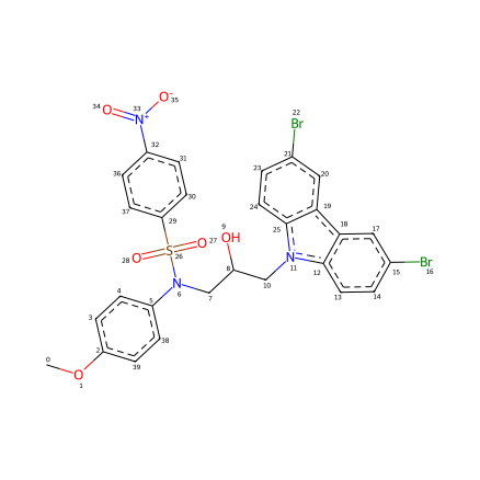 COc1ccc(N(CC(O)Cn2c3ccc(Br)cc3c3cc(Br)ccc32)S(=O)(=O)c2ccc([N+](=O)[O-])cc2)cc1